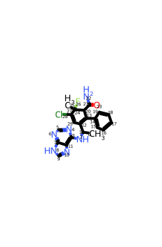 CC(Nc1ncnc2[nH]cnc12)C1=C(c2ccccc2)C(C(N)=O)C(C)(F)C(Cl)=C1